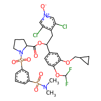 CN(C)S(=O)(=O)c1cccc(S(=O)(=O)N2CCCC2C(=O)OC(Cc2c(Cl)c[n+]([O-])cc2Cl)c2ccc(OC(F)F)c(OCC3CC3)c2)c1